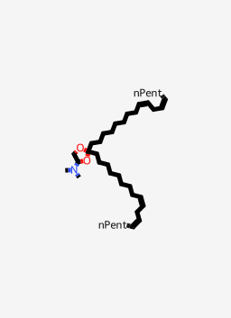 CCCCC/C=C\C/C=C\CCCCCCCCC1(CCCCCCCC/C=C\C/C=C\CCCCC)OCC(N(C)C)O1